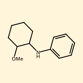 COC1CCCCC1Nc1ccccc1